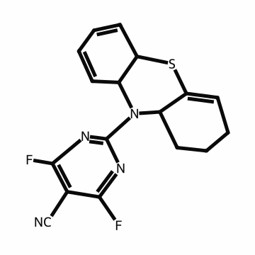 N#Cc1c(F)nc(N2C3CCCC=C3SC3C=CC=CC32)nc1F